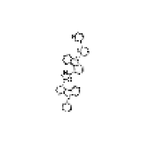 c1ccc(-n2c3ccccc3c3c(-c4nnc(-c5cccc6c5c5ccccc5n6-c5cccc(-c6cccnc6)n5)o4)cccc32)cc1